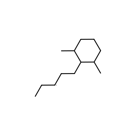 CC[CH]CCC1C(C)CCCC1C